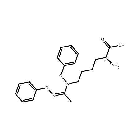 CC(=NOc1ccccc1)N(CCCC[C@H](N)C(=O)O)Oc1ccccc1